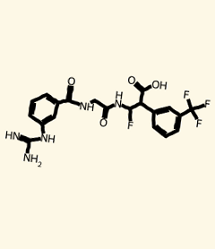 N=C(N)Nc1cccc(C(=O)NCC(=O)NC(F)C(C(=O)O)c2cccc(C(F)(F)F)c2)c1